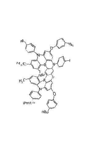 CCCCc1ccc(Oc2cc3c4c(c2)N(c2ccc([C@@H](C)CCC)cc2)c2cc(C)cc(CCCC)c2B4c2cc4c(cc2O3)N(c2ccc(I)cc2)c2cc(Oc3ccc(CCCC)cc3)cc3c2B4c2c(I)cc(C)cc2N3c2ccc(CCCC)cc2)cc1